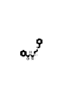 N=C(NCCSCc1ccccc1)NC(=O)c1ccccc1